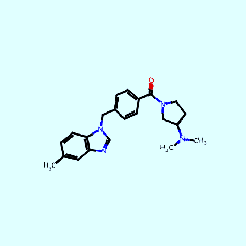 Cc1ccc2c(c1)ncn2Cc1ccc(C(=O)N2CCC(N(C)C)C2)cc1